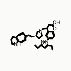 CCc1cc(CC)n(-c2cccc(C(CC(=O)O)CN3CC[C@@H](CCC4=C=CC5=C(C=C4)CCCN5)C3)c2)n1